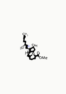 CC#CCC[C@H](O)/C=C/[C@H]1[C@H](O)CC2[C@@H]1CC1CCCC(C(=O)OC)N12